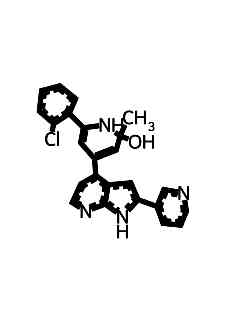 CC1(O)C=C(c2ccnc3[nH]c(-c4cccnc4)cc23)C=C(c2ccccc2Cl)N1